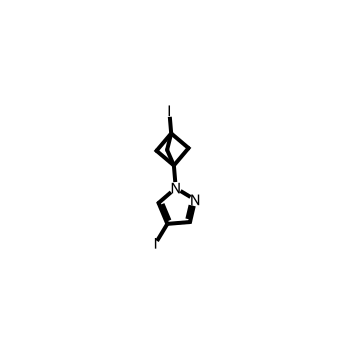 Ic1cnn(C23CC(I)(C2)C3)c1